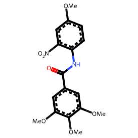 COc1ccc(NC(=O)c2cc(OC)c(OC)c(OC)c2)c([N+](=O)[O-])c1